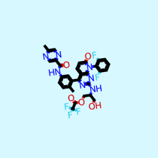 Cc1cnc(C(=O)Nc2ccc(C)c(-c3nc(NC(CO)COC(=O)C(F)(F)F)nc4c3ccc(=O)n4-c3c(F)cccc3F)c2)cn1